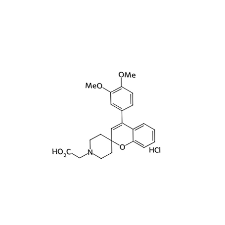 COc1ccc(C2=CC3(CCN(CC(=O)O)CC3)Oc3ccccc32)cc1OC.Cl